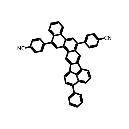 N#Cc1ccc(-c2cc3c4cc5c(cc4c(-c4ccc(C#N)cc4)cc3c3ccccc23)-c2cccc3c(-c4ccccc4)ccc-5c23)cc1